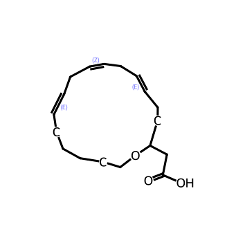 O=C(O)CC1CC/C=C/C/C=C\C/C=C/CCCCCO1